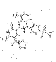 Cc1[nH]c(=O)c(C(=O)NC(c2ccc(S(=O)(=O)C3CC3)cc2)c2cccc(C(F)(F)F)c2)cc1C(=O)N1CCCO1